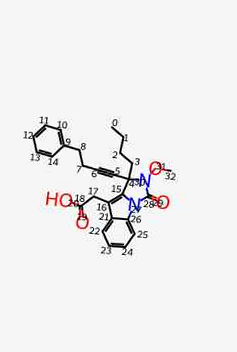 CCCCC1(C#CCCc2ccccc2)c2c(CC(=O)O)c3ccccc3n2C(=O)N1OC